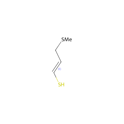 CSC/C=C/S